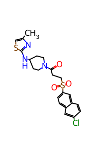 Cc1csc(NC2CCN(C(=O)CCS(=O)(=O)c3ccc4cc(Cl)ccc4c3)CC2)n1